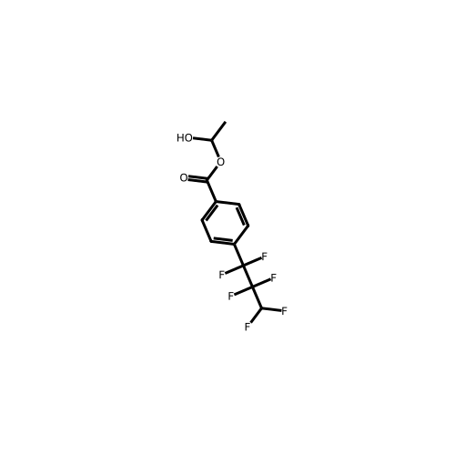 CC(O)OC(=O)c1ccc(C(F)(F)C(F)(F)C(F)F)cc1